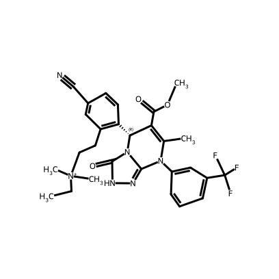 CC[N+](C)(C)CCc1cc(C#N)ccc1[C@@H]1C(C(=O)OC)=C(C)N(c2cccc(C(F)(F)F)c2)c2n[nH]c(=O)n21